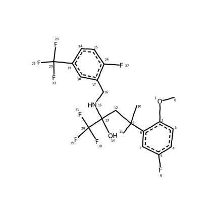 COc1ccc(F)cc1C(C)(C)CC(O)(NCc1cc(C(F)(F)F)ccc1F)C(F)(F)F